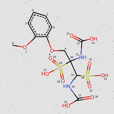 COc1ccccc1OCC(NC(=O)O)(C(NC(=O)O)S(=O)(=O)O)S(=O)(=O)O